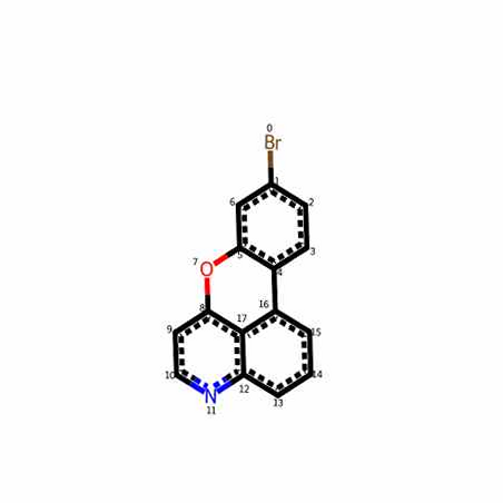 Brc1ccc2c(c1)Oc1ccnc3cccc-2c13